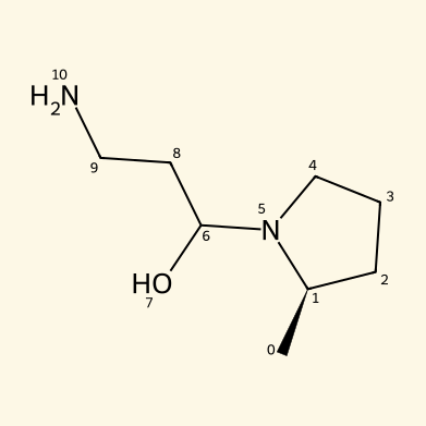 C[C@@H]1CCCN1C(O)CCN